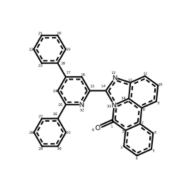 O=c1c2ccccc2c2cccc3nc(-c4cc(-c5ccccc5)cc(-c5ccccc5)n4)n1c32